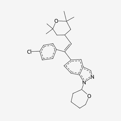 CC1(C)CC(C=C(c2ccc(Cl)cc2)c2ccc3c(cnn3C3CCCCO3)c2)CC(C)(C)O1